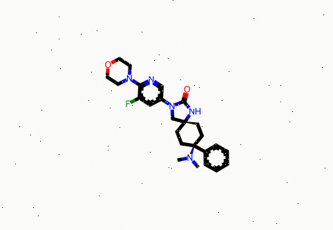 CN(C)[C@]1(c2ccccc2)CC[C@@]2(CC1)CN(c1cnc(N3CCOCC3)c(F)c1)C(=O)N2